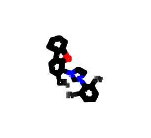 Cc1ccc2c(oc3ccccc32)c1N1C=CN(c2c(C(C)C)cccc2C(C)C)C1